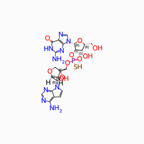 Nc1nc2c(ncn2[C@@H]2O[C@H](CO)[C@H](O)[C@@H]2OP(=O)(S)OC[C@@]23CO[C@H]([C@H](n4ccc5c(N)ncnc54)O2)[C@H]3O)c(=O)[nH]1